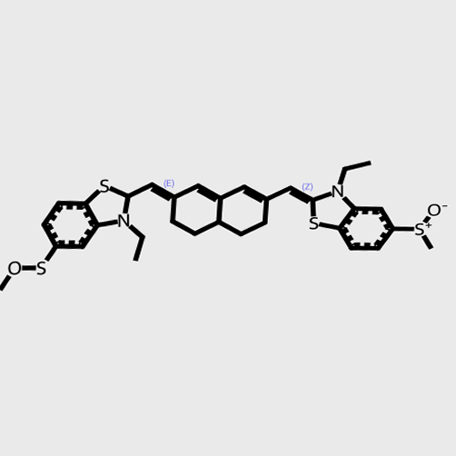 CCN1/C(=C/C2=CC3=C/C(=C/C4Sc5ccc(SOC)cc5N4CC)CCC3CC2)Sc2ccc([S+](C)[O-])cc21